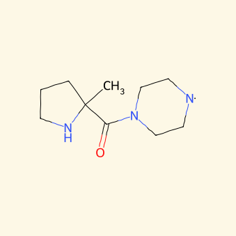 CC1(C(=O)N2CC[N]CC2)CCCN1